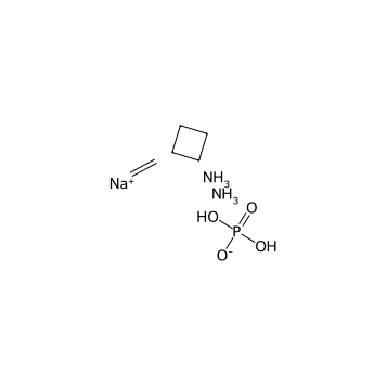 C1CCC1.C=C.N.N.O=P([O-])(O)O.[Na+]